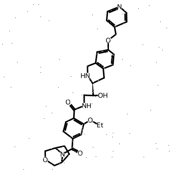 CCOc1cc(C(=O)N2C3CCC2COC3)ccc1C(=O)NCC(O)[C@@H]1Cc2ccc(OCc3ccncc3)cc2CN1